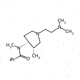 CC(C)C(=O)N(C)[C@@H]1CCN(CCN(C)C)C[C@@H]1C